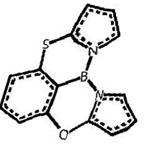 c1cc2c3c(c1)Sc1cccn1B3n1cccc1O2